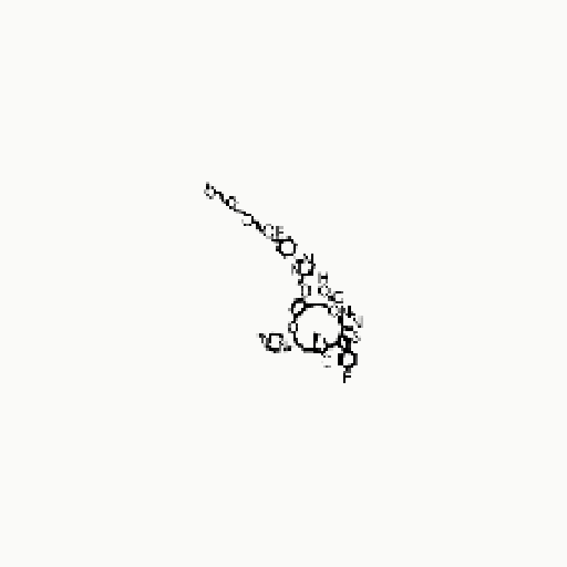 C#C/C1=C(Cl)\C(C)=C(/CC)c2c(-c3ccc(F)cc3)sc3ncnc(c23)O[C@@H](C(=O)O)Cc2cc(ccc2OCc2ccnc([C@H]3CC[C@@](F)(COCCOCCOCCOC)CC3)n2)OC[C@@H](CN2CCN(C)CC2)C1